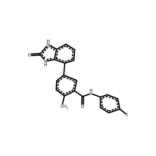 Cc1ccc(-c2cccc3[nH]c(=O)[nH]c23)cc1C(=O)Nc1ccc(F)cc1